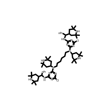 CCCC(Nc1nc(Cl)nc(N(CCCCCCN(c2nc(Cl)nc(NC(CCC)C3CC(C)(C)NC(C)(C)C3)n2)C2CC(C)(C)NC(C)(C)C2)C2CC(C)(C)NC(C)(C)C2)n1)C1CC(C)(C)NC(C)(C)C1